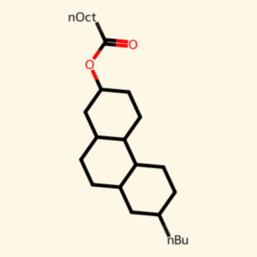 CCCCCCCCC(=O)OC1CCC2C(CCC3CC(CCCC)CCC32)C1